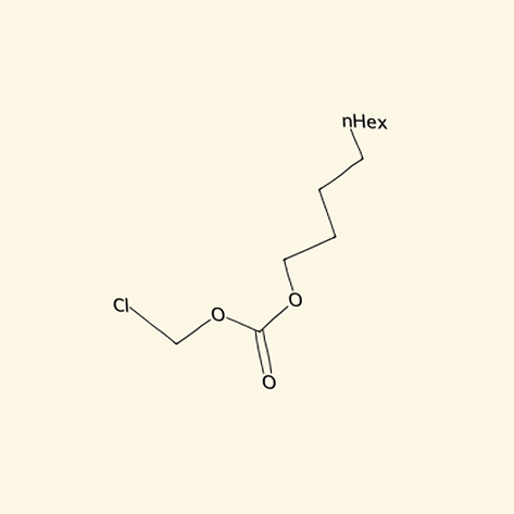 CCCCCCCCCCOC(=O)OCCl